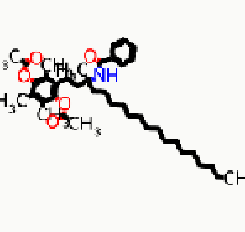 CCCCCCCCCCCCCCCCC(C)(CCc1c(C)c(OC(C)=O)c(C)c(C)c1OC(C)=O)NC(=O)c1ccccc1